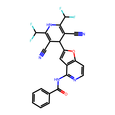 N#CC1=C(C(F)F)NC(C(F)F)=C(C#N)C1c1cc2c(NC(=O)c3ccccc3)nccc2o1